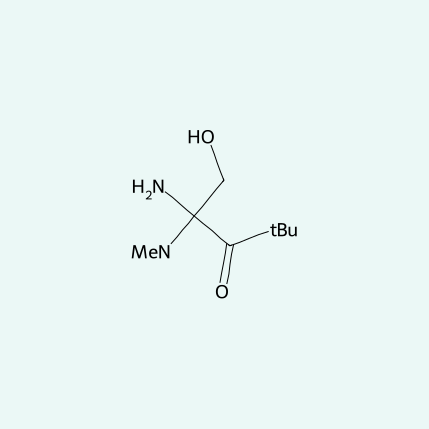 CNC(N)(CO)C(=O)C(C)(C)C